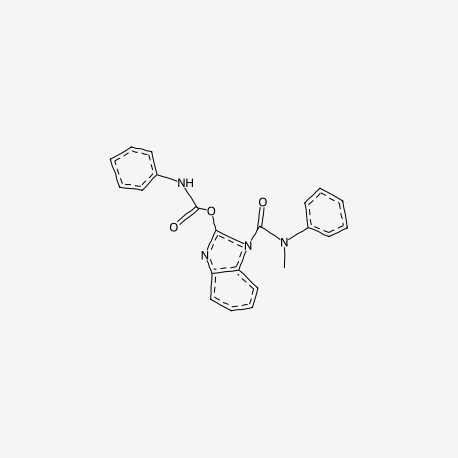 CN(C(=O)n1c(OC(=O)Nc2ccccc2)nc2ccccc21)c1ccccc1